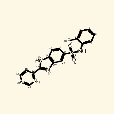 O=S(=O)(Nc1ccccc1F)c1ccc2[nH]c(-c3ccncn3)nc2c1